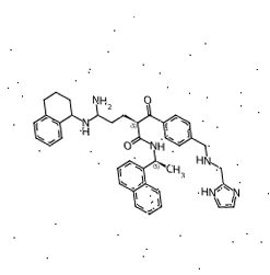 C[C@H](NC(=O)[C@@H](CCC(N)NC1CCCc2ccccc21)C(=O)c1ccc(CNCc2ncc[nH]2)cc1)c1cccc2ccccc12